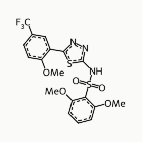 COc1ccc(C(F)(F)F)cc1-c1nnc(NS(=O)(=O)c2c(OC)cccc2OC)s1